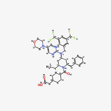 CCC1C[C@@H](N(Cc2cc(C(F)F)cc(C(F)F)c2)c2ncc(N3CCOCC3)cn2)C[C@@H](Cc2ccccc2)N1C(=O)C1CCC(CC(=O)O)CC1